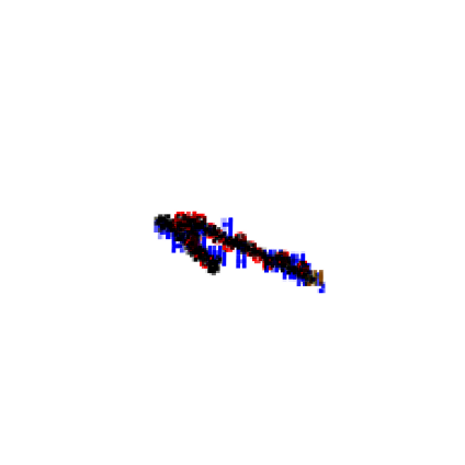 Cc1ccccc1NC(=O)Nc1ccc(CC(=O)N[C@@H](CCCCNC(=O)/C=C/c2cccnc2)C(=O)N[C@@H](CCCC(=O)O)C(=O)NC2(C(=O)NCCOCCOCCNC(=O)CCC(=O)NCCOCCOCCNC(=O)CCC(=O)N[C@@H](CCCCNC(=O)[C@H](N)CS)C(N)=O)CCCCC2)cc1